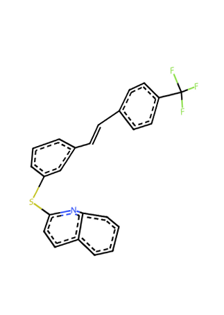 FC(F)(F)c1ccc(/C=C/c2cccc(Sc3ccc4ccccc4n3)c2)cc1